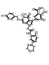 Cn1c(CCc2ccc(F)cc2)nc2c(c(-c3cc(Cl)c(O)c(C(N)=O)c3)cn2CC(=O)Nc2cc(N3CCOCC3)ncc2Cl)c1=O